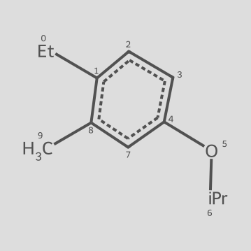 CCc1ccc(OC(C)C)cc1C